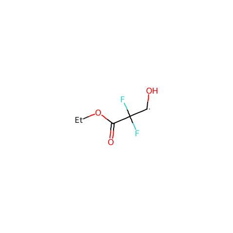 CCOC(=O)C(F)(F)[CH]O